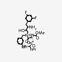 CCCC(CCC)S(=O)(=O)C[C@@H](NC(=O)OC)C(=O)N(Cc1cccc(CC)c1)C[C@@H](O)[C@@H](N)Cc1cc(F)cc(F)c1